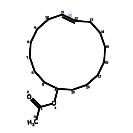 CC(=O)OC1CCCCCC/C=C/CCCCCCC1